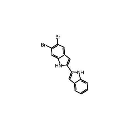 Brc1cc2cc(-c3cc4ccccc4[nH]3)[nH]c2cc1Br